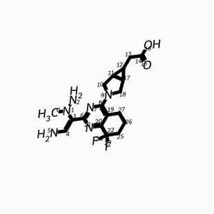 CN(N)/C(=C\N)c1nc(N2CC3C(CC(=O)O)C3C2)c2c(n1)C(F)(F)CCC2